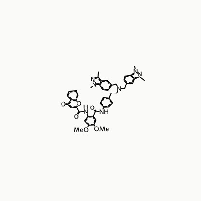 COc1cc(NC(=O)c2cc(=O)c3ccccc3o2)c(C(=O)Nc2ccc(CCN(Cc3ccc4c(c3)c(C)nn4C)Cc3ccc4c(c3)c(C)nn4C)cc2)cc1OC